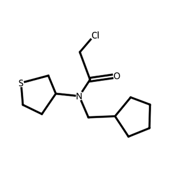 O=C(CCl)N(CC1CCCC1)C1CCSC1